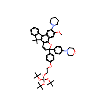 COc1cc2c3c(c4c(c2cc1N1CCCCC1)-c1ccccc1C4(C)C)C=CC(c1ccc(OCCO[Si](OC(C)(C)C)(OC(C)(C)C)OC(C)(C)C)cc1)(c1ccc(N2CCOCC2)cc1)O3